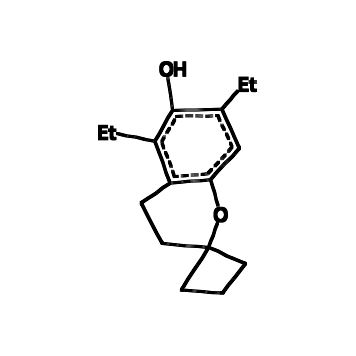 CCc1cc2c(c(CC)c1O)CCC1(CCC1)O2